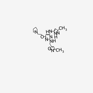 Cc1cc(Nc2cc(OCCN3CCCC3)nc(NCc3cc(C)no3)n2)[nH]n1